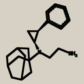 NCCN([C@@H]1C[C@H]1c1ccccc1)C12CC3CC(CC(C3)C1)C2